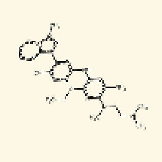 CN(C)CCN(C)c1nc(OCC(F)(F)F)c(Nc2ncc(Cl)c(-c3cn(C)c4ccccc34)n2)cc1N